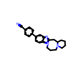 N#Cc1ccc(-c2ccc3c(c2)nc2n3CCCN3CCCCC3C2)cc1